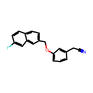 N#CCc1cccc(OCc2ccc3ccc(F)cc3c2)c1